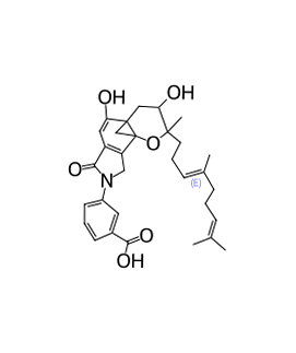 CC(C)=CCC/C(C)=C/CCC1(C)OC23CC2(CC1O)C(O)=CC1=C3CN(c2cccc(C(=O)O)c2)C1=O